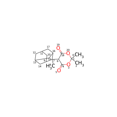 CC1(C)OC(=O)C(C2(C)C3CC4CC(C3)CC2C4)C(=O)O1